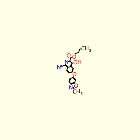 CCCCOC(=O)c1nc(C#N)c2ccc(Oc3ccc4nc(C)oc4c3)cc2c1O